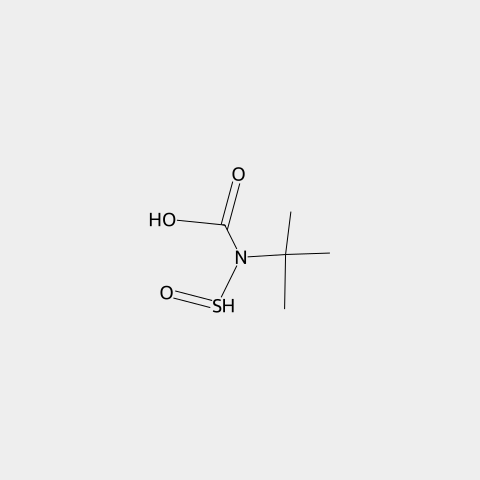 CC(C)(C)N([SH]=O)C(=O)O